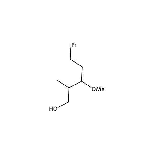 COC(CCC(C)C)C(C)CO